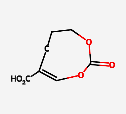 O=C1O/C=C(/C(=O)O)CCCO1